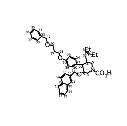 CCN(CC)CC1CN(C(=O)O)CC(OCc2ccc3ccccc3c2)C1c1ccc(OCCCOCc2ccccc2)cc1